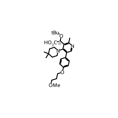 COCCCOc1ccc(-c2cnc(C)c([C@H](OC(C)(C)C)C(=O)O)c2N2CCC(C)(C)CC2)cc1